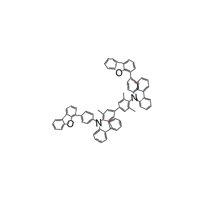 Cc1cc(-c2cc(C)c(N(c3ccc(-c4cccc5c4oc4ccccc45)cc3)c3ccccc3-c3ccccc3)c(C)c2)cc(C)c1N(c1ccc(-c2cccc3c2oc2ccccc23)cc1)c1ccccc1-c1ccccc1